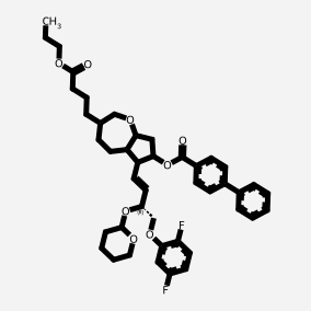 CCCOC(=O)CCCC1CCC2C(CC(OC(=O)c3ccc(-c4ccccc4)cc3)C2C=C[C@H](COc2cc(F)ccc2F)OC2CCCCO2)OC1